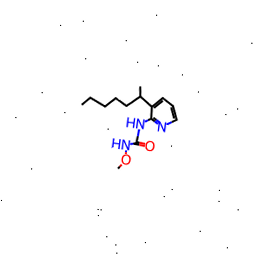 CCCCCC(C)c1cccnc1NC(=O)NOC